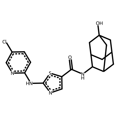 O=C(NC1C2CC3CC1CC(O)(C3)C2)c1cnc(Nc2ccc(Cl)cn2)s1